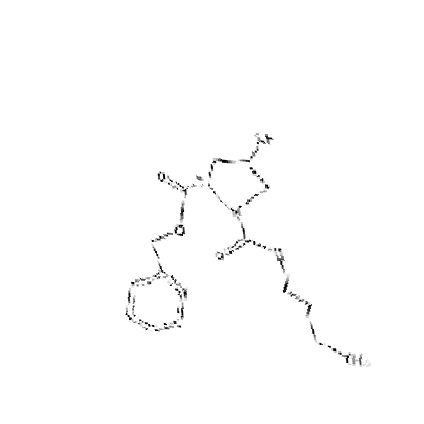 CCCCOC(=O)N1CC(O)C[C@H]1C(=O)OCc1ccccc1